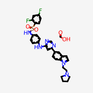 O=CO.O=S(=O)(Nc1ccc(Nc2cc(-c3ccc4c(ccn4CCN4CCCC4)c3)ncn2)cc1)c1ccc(F)cc1F